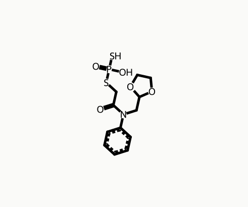 O=C(CSP(=O)(O)S)N(CC1OCCO1)c1ccccc1